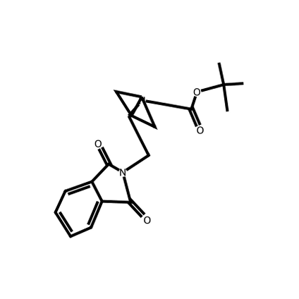 CC(C)(C)OC(=O)N1C(CN2C(=O)c3ccccc3C2=O)C23CC12C3